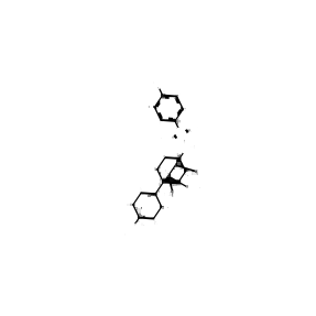 Cc1ccc(S(=O)(=O)OC23CCC(C45CCC(C)(CC4)CC5)(CC2)C(F)(F)C3F)cc1